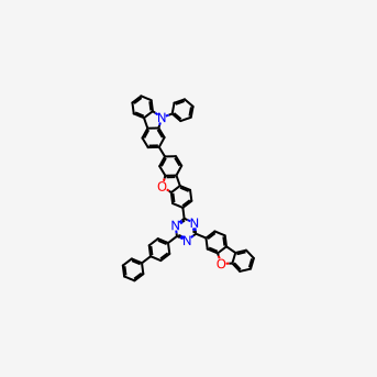 c1ccc(-c2ccc(-c3nc(-c4ccc5c(c4)oc4ccccc45)nc(-c4ccc5c(c4)oc4cc(-c6ccc7c8ccccc8n(-c8ccccc8)c7c6)ccc45)n3)cc2)cc1